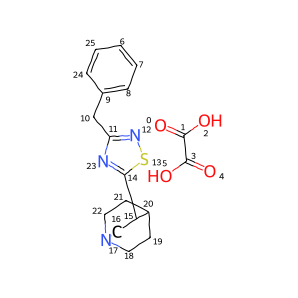 O=C(O)C(=O)O.c1ccc(Cc2nsc(C3CN4CCC3CC4)n2)cc1